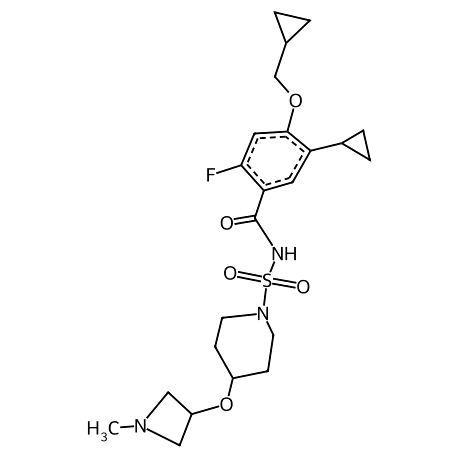 CN1CC(OC2CCN(S(=O)(=O)NC(=O)c3cc(C4CC4)c(OCC4CC4)cc3F)CC2)C1